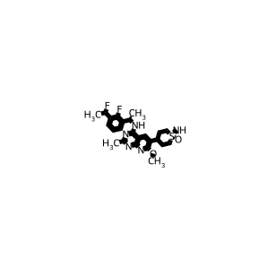 COc1nc2nc(C)nc(N[C@H](C)c3cccc(C(C)F)c3F)c2cc1C1CCS(=N)(=O)CC1